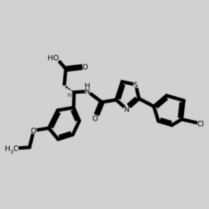 CCOc1cccc([C@H](CC(=O)O)NC(=O)c2csc(-c3ccc(Cl)cc3)n2)c1